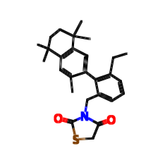 CCc1cccc(CN2C(=O)CSC2=O)c1-c1cc2c(cc1C)C(C)(C)CCC2(C)C